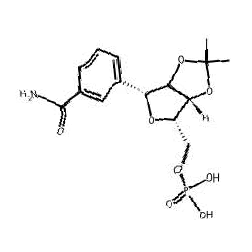 CC1(C)OC2[C@@H](c3cccc(C(N)=O)c3)O[C@@H](COP(=O)(O)O)[C@H]2O1